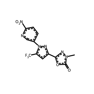 Cn1nc(-c2cc(C(F)(F)F)n(-c3ccc([N+](=O)[O-])nc3)n2)oc1=O